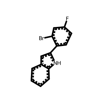 Fc1ccc(-c2cc3ccccc3[nH]2)c(Br)c1